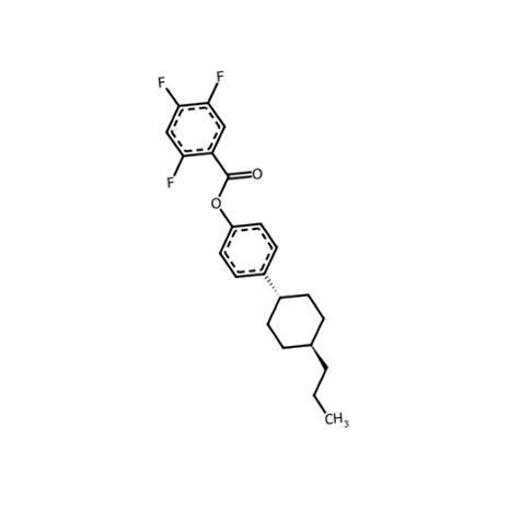 CCC[C@H]1CC[C@H](c2ccc(OC(=O)c3cc(F)c(F)cc3F)cc2)CC1